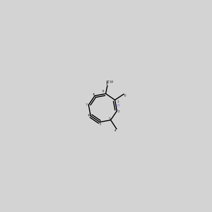 C/C1=C/C(C)C#CC=C=C1F